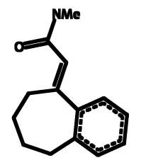 CNC(=O)C=C1CCCCc2ccccc21